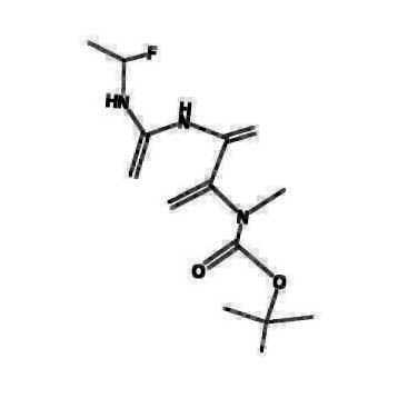 C=C(NC(=C)C(=C)N(C)C(=O)OC(C)(C)C)NC(C)F